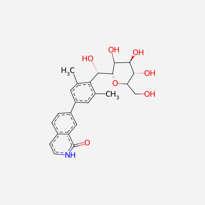 Cc1cc(-c2ccc3cc[nH]c(=O)c3c2)cc(C)c1[C@H](O)[C@H]1OC(CO)[C@@H](O)[C@H](O)C1O